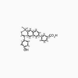 CC1(C)CC=C(c2ccc(O)cc2)c2cc3cc(-c4cccc(C(=O)O)c4)ccc3cc21